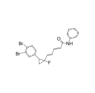 O=C(/C=C/C=C/C1(F)CC1c1ccc(Br)c(Br)c1)Nc1ccccc1